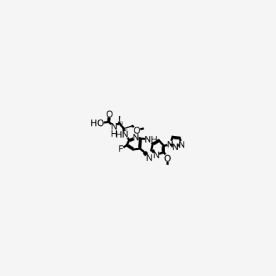 COC[C@@H](Nc1nc(Nc2cnc(OC)c(-n3ccnn3)c2)c(C#N)cc1F)[C@H](C)NC(=O)O